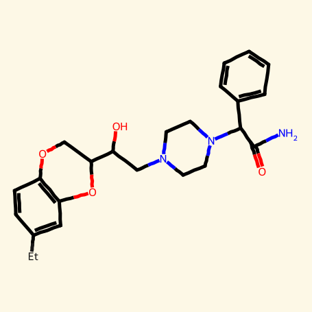 CCc1ccc2c(c1)OC(C(O)CN1CCN(C(C(N)=O)c3ccccc3)CC1)CO2